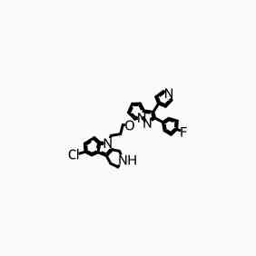 Fc1ccc(-c2nn3c(OCCCn4c5c(c6cc(Cl)ccc64)CCNC5)cccc3c2-c2ccncc2)cc1